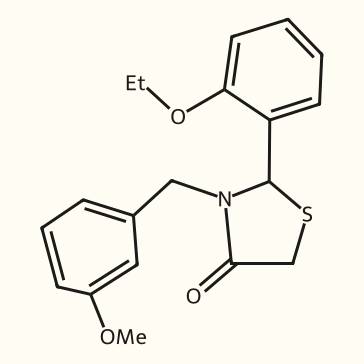 CCOc1ccccc1C1SCC(=O)N1Cc1cccc(OC)c1